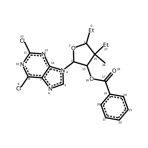 CCC1OC(n2cnc3c(Cl)nc(Cl)nc32)C(OC(=O)c2ccccc2)C1(C)CC